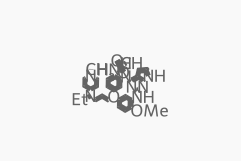 CCN(CCCOc1ccc(OC)c(Nc2nc(Nc3ccccc3NS(C)(=O)=O)c3cc[nH]c3n2)c1)C1CCN(C)CC1